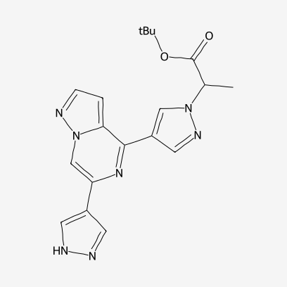 CC(C(=O)OC(C)(C)C)n1cc(-c2nc(-c3cn[nH]c3)cn3nccc23)cn1